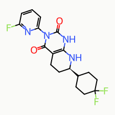 O=c1[nH]c2c(c(=O)n1-c1cccc(F)n1)CC[C@H](C1CCC(F)(F)CC1)N2